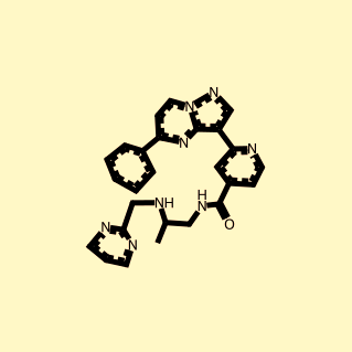 CC(CNC(=O)c1ccnc(-c2cnn3ccc(-c4ccccc4)nc23)c1)NCc1ncccn1